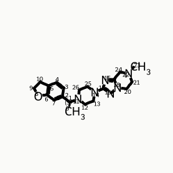 C[C@@H](c1ccc2c(c1)OCC2)N1CCN(c2nc3n(n2)CCN(C)C3)CC1